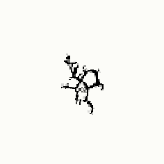 CCC1CCCC1(COC)C(C)C